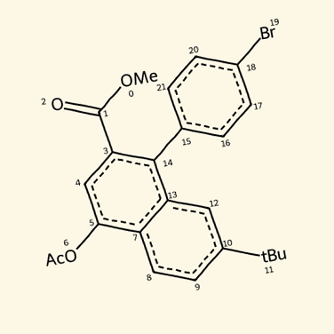 COC(=O)c1cc(OC(C)=O)c2ccc(C(C)(C)C)cc2c1-c1ccc(Br)cc1